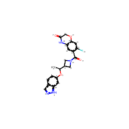 CC(Oc1ccc2cn[nH]c2c1)C1CN(C(=O)c2cc3c(cc2F)OCC(=O)N3)C1